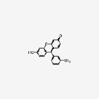 Cc1cccc(-c2c3ccc(=O)cc-3oc3cc(O)ccc23)c1